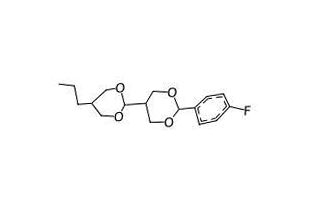 CCCC1COC(C2COC(c3ccc(F)cc3)OC2)OC1